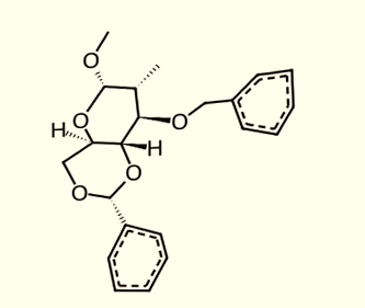 CO[C@H]1O[C@@H]2CO[C@@H](c3ccccc3)O[C@H]2[C@H](OCc2ccccc2)[C@H]1C